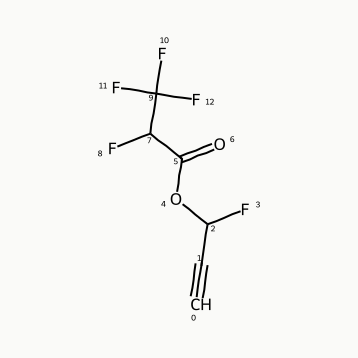 C#CC(F)OC(=O)C(F)C(F)(F)F